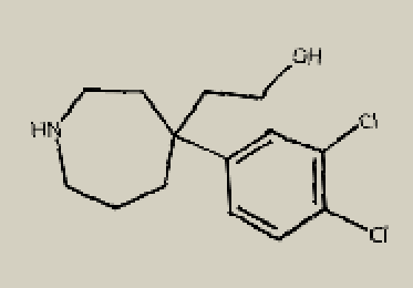 OCCC1(c2ccc(Cl)c(Cl)c2)CCCNCC1